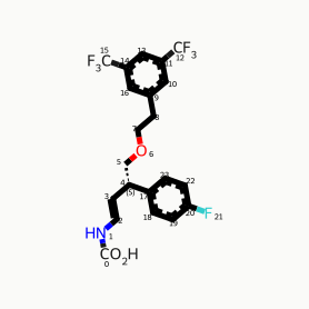 O=C(O)NC=C[C@H](COCCc1cc(C(F)(F)F)cc(C(F)(F)F)c1)c1ccc(F)cc1